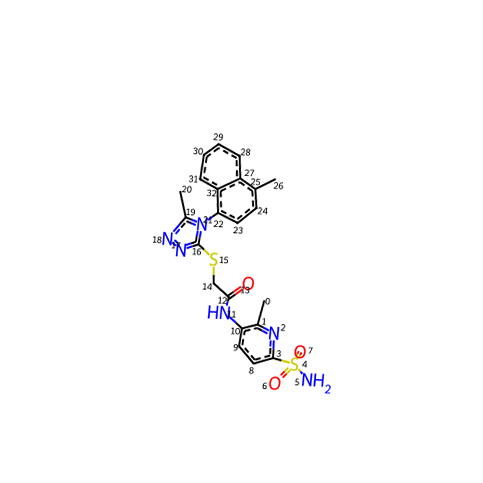 Cc1nc(S(N)(=O)=O)ccc1NC(=O)CSc1nnc(C)n1-c1ccc(C)c2ccccc12